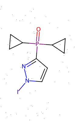 O=P(c1ccn(I)n1)(C1CC1)C1CC1